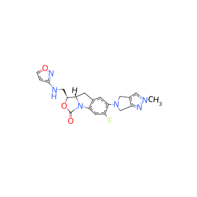 Cn1cc2c(n1)CN(c1cc3c(cc1F)N1C(=O)O[C@@H](CNc4ccon4)[C@@H]1C3)C2